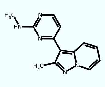 CNc1nccc(-c2c(C)nn3ccccc23)n1